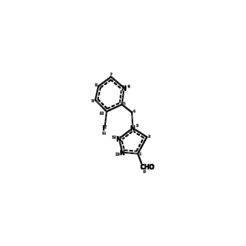 O=Cc1cn(Cc2ncccc2F)nn1